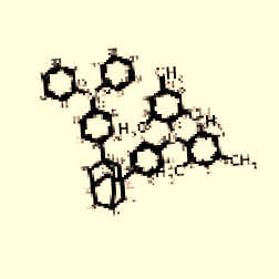 Cc1cc(C)c(B(c2ccc(C34CC5CC(C3)CC(c3ccc(N(c6ccccc6)c6ccccc6)cc3)(C5)C4)cc2)c2c(C)cc(C)cc2C)c(C)c1